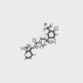 O=C(Nc1n[nH]c2ccccc12)N1CCC(O)(c2ccc(Cl)c(C(F)(F)F)c2)CC1